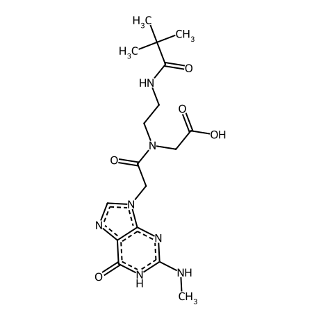 CNc1nc2c(ncn2CC(=O)N(CCNC(=O)C(C)(C)C)CC(=O)O)c(=O)[nH]1